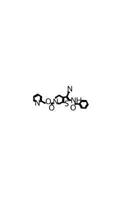 N#Cc1c(NC(=O)c2ccccc2)sc2c1CCN(C(=O)OCc1ccccn1)C2